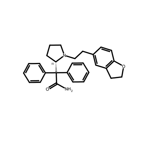 NC(=O)C(c1ccccc1)(c1ccccc1)[C@@H]1CCCN1CCc1ccc2c(c1)CCO2